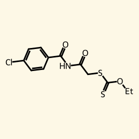 CCOC(=S)SCC(=O)NC(=O)c1ccc(Cl)cc1